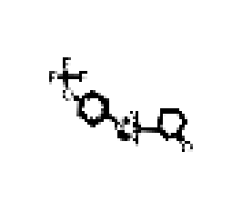 O=C1C=C(c2ncn(-c3ccc(OC(F)(F)F)cc3)n2)CCC1